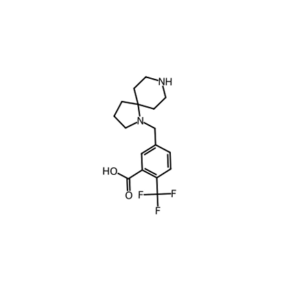 O=C(O)c1cc(CN2CCCC23CCNCC3)ccc1C(F)(F)F